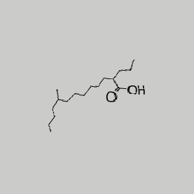 CCCCC(C)CCCCCCC(CCC)C(=O)O